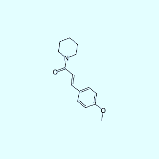 COc1ccc(/C=C/C(=O)N2CCCCC2)cc1